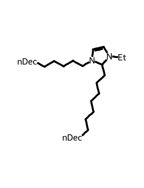 CCCCCCCCCCCCCCCCCC1N(CC)C=CN1CCCCCCCCCCCCCCC